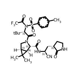 Cc1ccc(S(=O)(=O)N(C(=O)C(F)(F)F)[C@H](C(=O)N2C[C@H]3[C@@H]([C@H]2C(=O)N[C@H](C#N)C[C@@H]2CCNC2=O)C3(C)C)C(C)(C)C)cc1